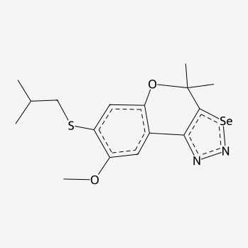 COc1cc2c(cc1SCC(C)C)OC(C)(C)c1[se]nnc1-2